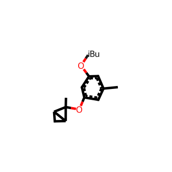 CCC(C)Oc1cc(C)cc(OC2(C)C3CC32)c1